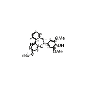 CCCCSc1nnc2c(n1)OC(c1cc(OC)c(O)c(OC)c1)Nc1ccccc1-2